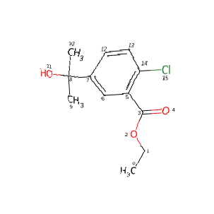 CCOC(=O)c1cc(C(C)(C)O)ccc1Cl